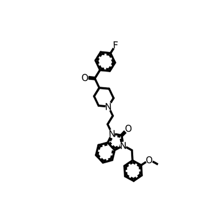 COc1ccccc1Cn1c(=O)n(CCN2CCC(C(=O)c3ccc(F)cc3)CC2)c2ccccc21